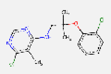 Cc1c(Cl)ncnc1NCC(C)(C)Oc1ccccc1Cl